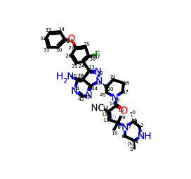 C[C@@H]1CN[C@@H](C)CN1C(C)(C)/C=C(/C#N)C(=O)N1CCC[C@@H](n2nc(-c3ccc(Oc4ccccc4)cc3F)c3c(N)ncnc32)C1